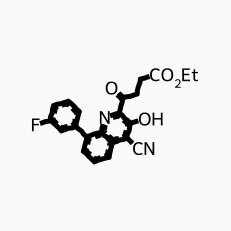 CCOC(=O)CCC(=O)c1nc2c(-c3cccc(F)c3)cccc2c(C#N)c1O